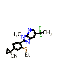 CCSc1cc(C2(C#N)CC2)ccc1-c1nc2cc(C(C)(F)F)cnc2n1C